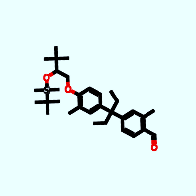 CCC(CC)(c1ccc(C=O)c(C)c1)c1ccc(OCC(O[Si](C)(C)C(C)(C)C)C(C)(C)C)c(C)c1